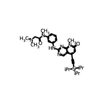 CC(C)[Si](C#Cc1cc(=O)n(C)c2nc(Nc3cccc(N(C)C(=O)CN(C)C)c3)ncc12)(C(C)C)C(C)C